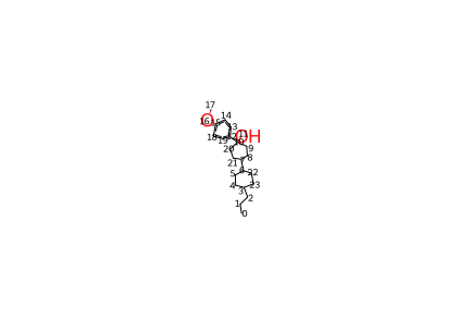 CCCC1CCC(C2CCC(O)(c3ccc(OC)cc3)CC2)CC1